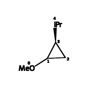 COC1C[C@@H]1C(C)C